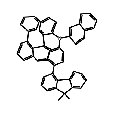 CC1(C)c2ccccc2-c2c(-c3ccc(N(c4ccc5ccccc5c4)c4ccccc4-c4cccc5cccc(-c6ccccc6)c45)cc3)cccc21